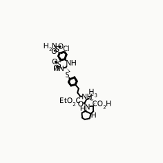 CCOC(=O)[C@H](CCc1ccc(SC[C@H]2Nc3cc(Cl)c(S(N)(=O)=O)cc3S(=O)(=O)N2)cc1)NC(C)C(=O)N1[C@@H]2CCCC[C@@H]2C[C@H]1C(=O)O